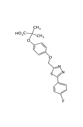 CC(C)(Oc1ccc(OCc2nnc(-c3ccc(F)cc3)s2)cc1)C(=O)O